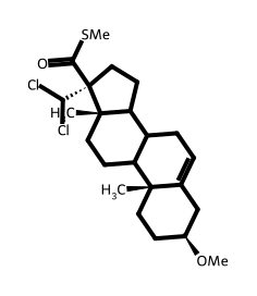 CO[C@H]1CC[C@@]2(C)C(=CCC3C2CC[C@@]2(C)C3CC[C@@]2(C(=O)SC)C(Cl)Cl)C1